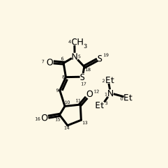 CCN(CC)CC.CN1C(=O)C(=CC2C(=O)CCC2=O)SC1=S